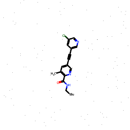 Cc1cc(C#Cc2cncc(Cl)c2)cnc1C(=O)NCC(C)(C)C